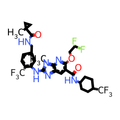 Cn1c(Nc2cc(CNC(=O)C3(C)CC3)ccc2C(F)(F)F)nc2cc(C(=O)NC3CCC(C(F)(F)F)CC3)c(OCC(F)F)nc21